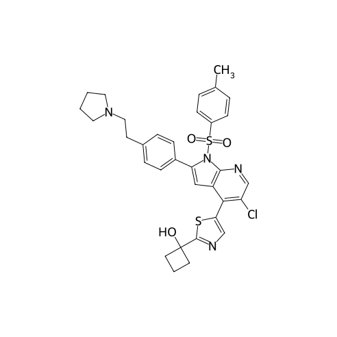 Cc1ccc(S(=O)(=O)n2c(-c3ccc(CCN4CCCC4)cc3)cc3c(-c4cnc(C5(O)CCC5)s4)c(Cl)cnc32)cc1